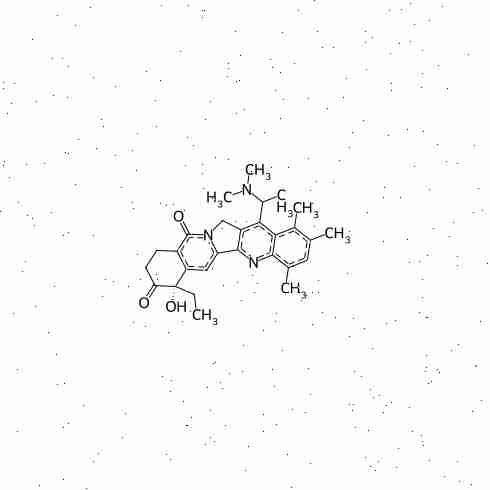 CC[C@@]1(O)C(=O)CCc2c1cc1n(c2=O)Cc2c-1nc1c(C)cc(C)c(C)c1c2C(C)N(C)C